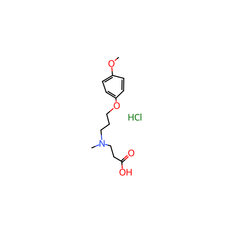 COc1ccc(OCCCN(C)CCC(=O)O)cc1.Cl